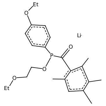 CCOCCOP(C(=O)c1c(C)cc(C)c(C)c1C)c1ccc(OCC)cc1.[Li]